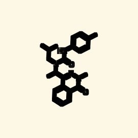 Cc1ccc(NC(=O)N(CC(C)C)C(C)c2nn(C)c(=O)c3ccccc23)cc1